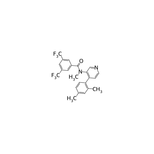 Cc1ccc(-c2ccncc2N(C)C(=O)c2cc(C(F)(F)F)cc(C(F)(F)F)c2)c(C)c1